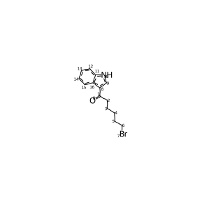 O=C(CCCCCBr)c1c[nH]c2ccccc12